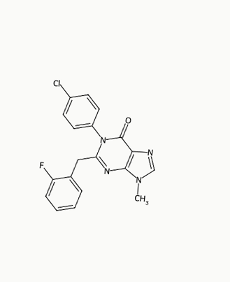 Cn1cnc2c(=O)n(-c3ccc(Cl)cc3)c(Cc3ccccc3F)nc21